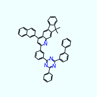 CC1(C)c2ccccc2-c2cc3c(-c4ccc5ccccc5c4)cc(-c4cccc(-c5nc(-c6ccccc6)nc(-c6cccc(-c7ccccc7)c6)n5)c4)nc3cc21